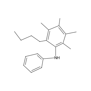 CCCCc1c(C)c(C)c(C)c(C)c1Nc1ccccc1